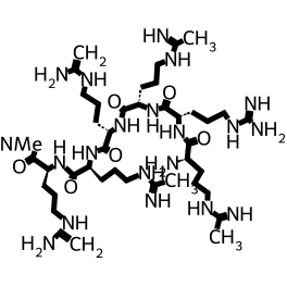 C=C(N)NCCC[C@H](NC(=O)[C@H](CCCNC(C)=N)NC(=O)[C@H](CCCNC(=C)N)NC(=O)[C@H](CCCNC(C)=N)NC(=O)[C@H](CCCNC(=N)N)NC(=O)[C@@H](N)CCCNC(C)=N)C(=O)NC